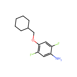 Nc1cc(F)c(OCC2CCCCC2)cc1F